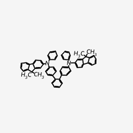 CC1(C)c2ccccc2-c2ccc(N(c3ccccc3)c3ccc(-c4ccccc4-c4ccc(N(c5ccccc5)c5ccc6c(c5)C(C)(C)c5ccccc5-6)cc4)cc3)cc21